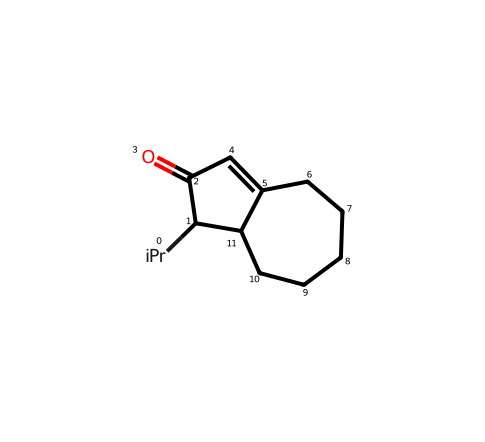 CC(C)C1C(=O)C=C2CCCCCC21